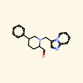 O=CC1CCC(c2ccccc2)CN1Cc1cnc2ccccn12